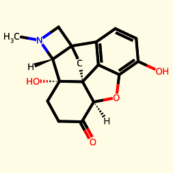 CN1CC23C[C@]45c6c2ccc(O)c6O[C@H]4C(=O)CC[C@@]5(O)[C@H]13